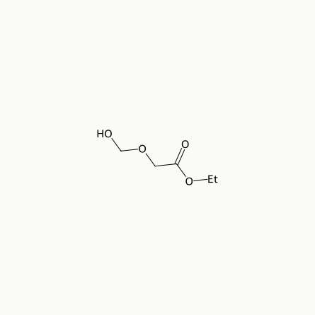 CCOC(=O)COCO